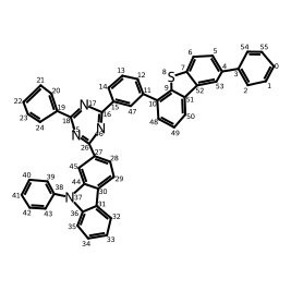 c1ccc(-c2ccc3sc4c(-c5cccc(-c6nc(-c7ccccc7)nc(-c7ccc8c9ccccc9n(-c9ccccc9)c8c7)n6)c5)cccc4c3c2)cc1